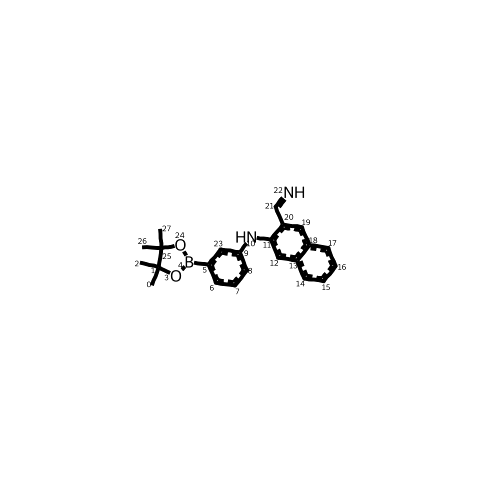 CC1(C)OB(c2cccc(Nc3cc4ccccc4cc3C=N)c2)OC1(C)C